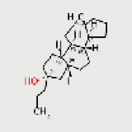 CCC[C@@]1(O)CC[C@H]2[C@H](CC[C@@H]3[C@@H]2CC[C@]2(C)CCC[C@@H]32)C1